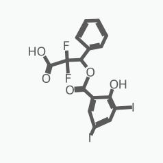 O=C(OC(c1ccccc1)C(F)(F)C(=O)O)c1cc(I)cc(I)c1O